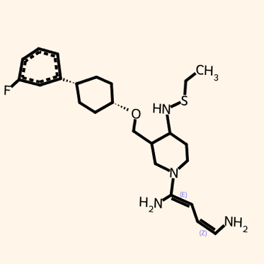 CCSNC1CCN(/C(N)=C/C=C\N)CC1CO[C@H]1CC[C@@H](c2cccc(F)c2)CC1